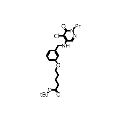 CC(C)n1ncc(NCc2cccc(OCCCCC(=O)OC(C)(C)C)c2)c(Cl)c1=O